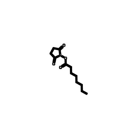 CCCCCCCC(=O)ON1C(=O)CCC1=O